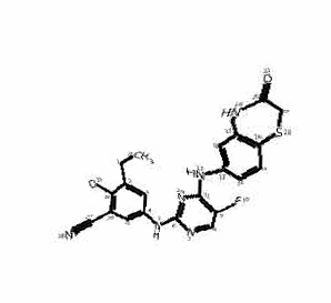 CCc1cc(Nc2ncc(F)c(Nc3ccc4c(c3)NC(=O)CS4)n2)cc(C#N)c1Cl